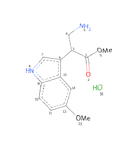 COC(=O)C(CN)c1c[nH]c2ccc(OC)cc12.Cl